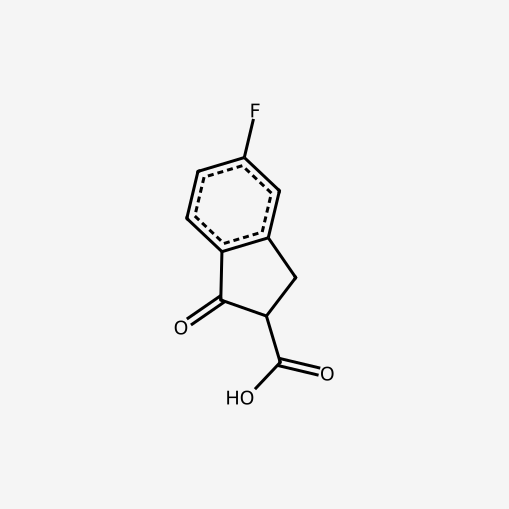 O=C(O)C1Cc2cc(F)ccc2C1=O